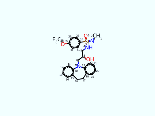 CN=S(=O)(NCC(O)CN1c2ccccc2CCc2ccccc21)c1ccc(OC(F)(F)F)cc1